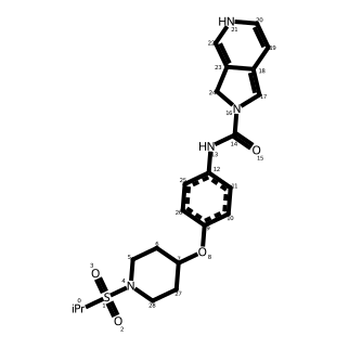 CC(C)S(=O)(=O)N1CCC(Oc2ccc(NC(=O)N3C=C4C=CNC=C4C3)cc2)CC1